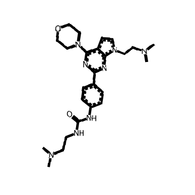 CN(C)CCNC(=O)Nc1ccc(-c2nc(N3CCOCC3)c3ccn(CCN(C)C)c3n2)cc1